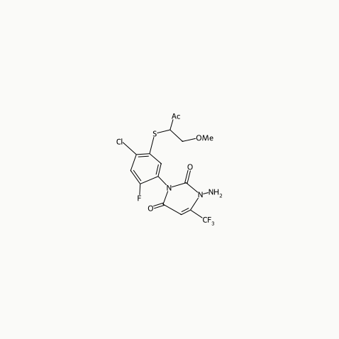 COCC(Sc1cc(-n2c(=O)cc(C(F)(F)F)n(N)c2=O)c(F)cc1Cl)C(C)=O